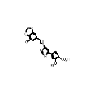 CCOc1cc(-c2cc(NCCc3cc(Cl)c4c(c3)OCCO4)ncn2)ccc1C(=O)O